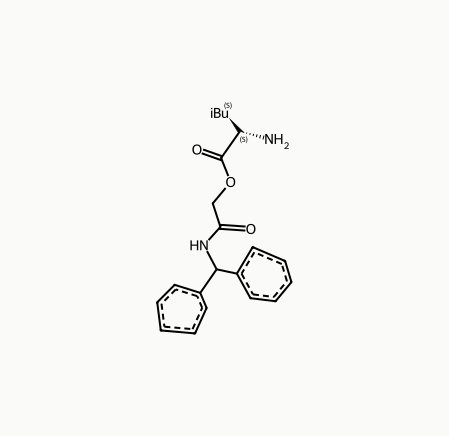 CC[C@H](C)[C@H](N)C(=O)OCC(=O)NC(c1ccccc1)c1ccccc1